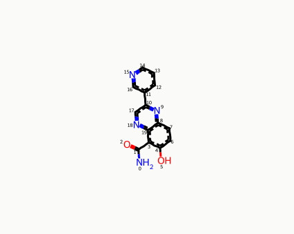 NC(=O)c1c(O)ccc2nc(-c3cccnc3)cnc12